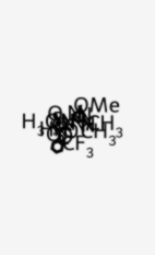 COc1nc(N(C)C)nc(N(CS(C)(=O)=O)C(=O)NS(=O)(=O)c2ccccc2C(F)(F)F)n1